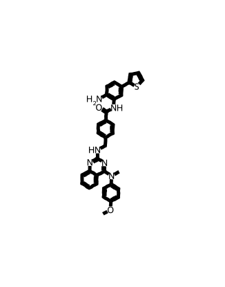 COc1ccc(N(C)c2nc(NCc3ccc(C(=O)Nc4cc(-c5cccs5)ccc4N)cc3)nc3ccccc23)cc1